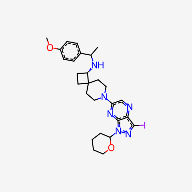 COc1ccc(C(C)N[C@@H]2CCC23CCN(c2cnc4c(I)nn(C5CCCCO5)c4n2)CC3)cc1